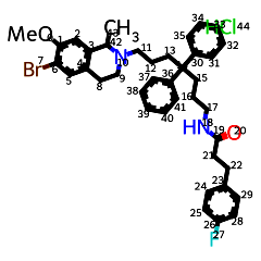 COc1cc2c(cc1Br)CCN(CCCC(CCCNC(=O)CCc1ccc(F)cc1)(c1ccccc1)c1ccccc1)C2C.Cl